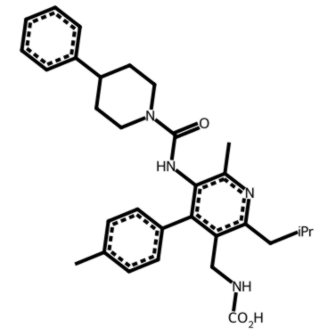 Cc1ccc(-c2c(CNC(=O)O)c(CC(C)C)nc(C)c2NC(=O)N2CCC(c3ccccc3)CC2)cc1